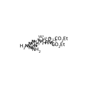 CCOC(=O)CC[C@@H](NC(=O)c1ccc2c(c1)CCCN2Cc1cnc2nc(N)nc(N)c2n1)C(=O)OCC